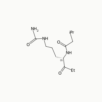 CCC(=O)[C@H](CCCNC(N)=O)NC(=O)CC(C)C